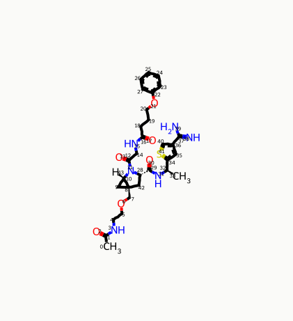 CC(=O)NCCOC[C@@]12C[C@@H]1N(C(=O)CNC(=O)CCCOc1ccccc1)[C@H](C(=O)N[C@H](C)c1cc(C(=N)N)cs1)C2